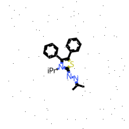 CC(C)=N/N=c1\sc(-c2ccccc2)c(-c2ccccc2)n1C(C)C